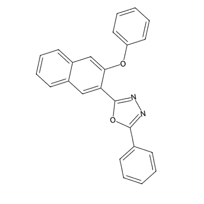 c1ccc(Oc2cc3ccccc3cc2-c2nnc(-c3ccccc3)o2)cc1